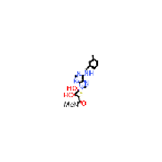 CNC(=O)C1SC(O)(n2cnc3c(NCc4cccc(C)c4)ncnc32)C1O